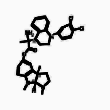 CN1CC[C@@]2(C)c3cc(OC(=O)C(C)(N)[C@H]4CC[C@@H](c5ccc(Cl)c(Cl)c5)c5ccccc54)ccc3N(C)[C@@H]12